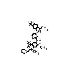 COc1ccc2c(C)nn(-c3ccnc(Nc4cc([N+](=O)[O-])c(N(C)CCN5CCCC5)cc4OC)n3)c2c1